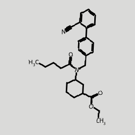 CCCCC(=O)N(Cc1ccc(-c2ccccc2C#N)cc1)C1CCCC(C(=O)OCC)C1